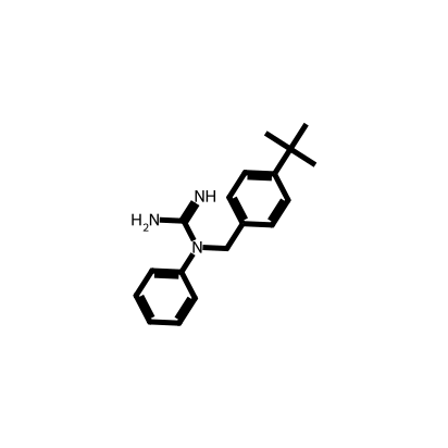 CC(C)(C)c1ccc(CN(C(=N)N)c2ccccc2)cc1